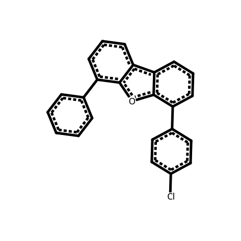 Clc1ccc(-c2cccc3c2oc2c(-c4ccccc4)cccc23)cc1